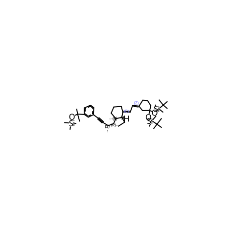 C[C@H](C#Cc1cccc(C(C)(C)O[Si](C)(C)C)c1)[C@H]1CC[C@H]2/C(=C/C=C3/CCCC(O[Si](C)(C)C(C)(C)C)(O[Si](C)(C)C(C)(C)C)C3)CCC[C@]12C